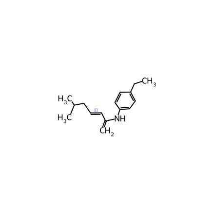 C=C(/C=C/CC(C)C)Nc1ccc(CC)cc1